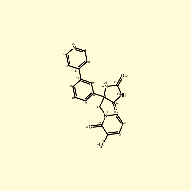 Cc1cccn(CC2(c3cccc(-c4ccncc4)c3)NC(=O)NC2=O)c1=O